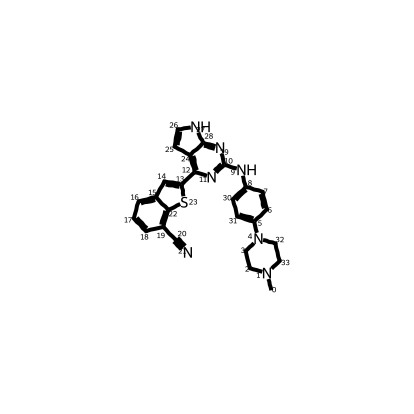 CN1CCN(c2ccc(Nc3nc(-c4cc5cccc(C#N)c5s4)c4cc[nH]c4n3)cc2)CC1